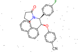 N#Cc1ccc(O[C@@H](c2cccc3ccccc23)[C@H](c2ccc(F)cc2)N2CCCC2=O)cc1